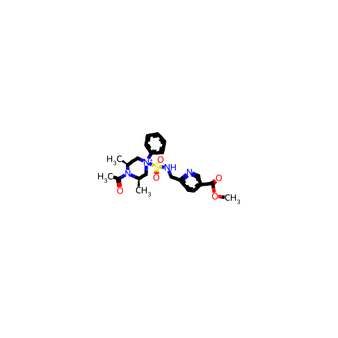 COC(=O)c1ccc(CNS(=O)(=O)[N+]2(c3ccccc3)C[C@@H](C)N(C(C)=O)[C@@H](C)C2)nc1